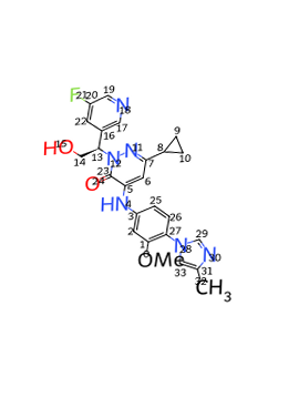 COc1cc(Nc2cc(C3CC3)nn([C@@H](CO)c3cncc(F)c3)c2=O)ccc1-n1cnc(C)c1